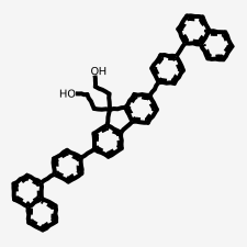 OCCC1(CCO)c2cc(-c3ccc(-c4cccc5ccccc45)cc3)ccc2-c2ccc(-c3ccc(-c4cccc5ccccc45)cc3)cc21